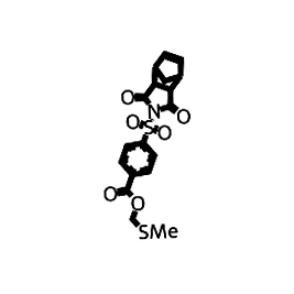 CSCOC(=O)c1ccc(S(=O)(=O)N2C(=O)C3C4C=CC(C4)C3C2=O)cc1